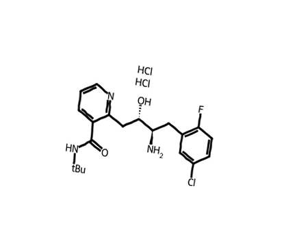 CC(C)(C)NC(=O)c1cccnc1C[C@H](O)[C@H](N)Cc1cc(Cl)ccc1F.Cl.Cl